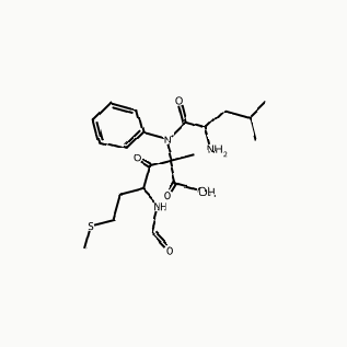 CSCCC(NC=O)C(=O)C(C)(C(=O)O)N(C(=O)C(N)CC(C)C)c1ccccc1